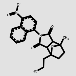 CC12CCC(CCO)(O1)C1C(=O)N(c3ccc([N+](=O)[O-])c4ccccc34)C(=O)C12